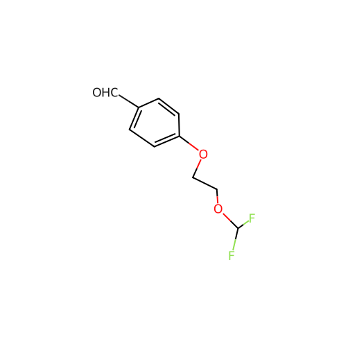 O=Cc1ccc(OCCOC(F)F)cc1